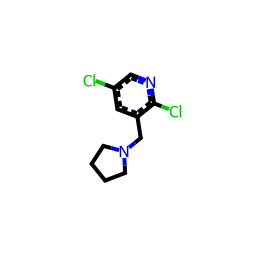 Clc1cnc(Cl)c(CN2CCCC2)c1